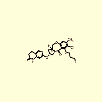 Cc1cc2c(c(OCCCF)c1Cl)C(=O)N1C[C@@H](Oc3cc4c(cn3)CCC(=O)N4)C[C@@H]1CO2